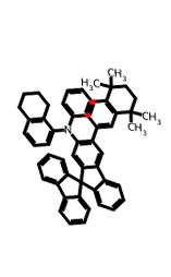 CC1(C)CCC(C)(C)c2cc(-c3cc4c(cc3N(c3ccccc3)c3cccc5c3CCCC5)C3(c5ccccc5-c5ccccc53)c3ccccc3-4)ccc21